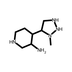 CN1NNCC1C1CCNCC1N